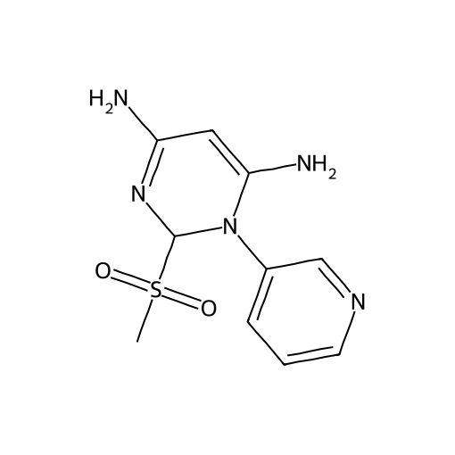 CS(=O)(=O)C1N=C(N)C=C(N)N1c1cccnc1